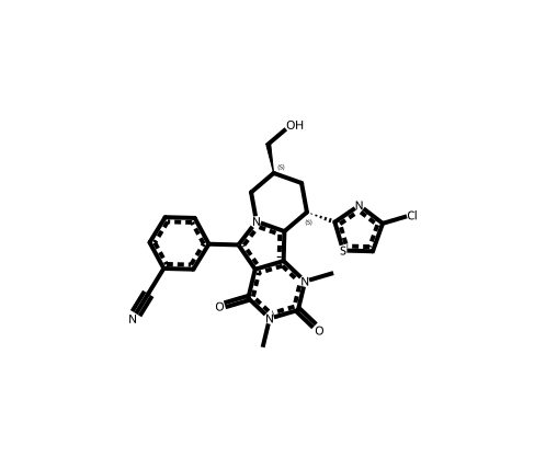 Cn1c(=O)c2c(-c3cccc(C#N)c3)n3c(c2n(C)c1=O)[C@@H](c1nc(Cl)cs1)C[C@H](CO)C3